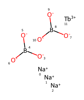 [Na+].[Na+].[Na+].[O-]B([O-])[O-].[O-]B([O-])[O-].[Tb+3]